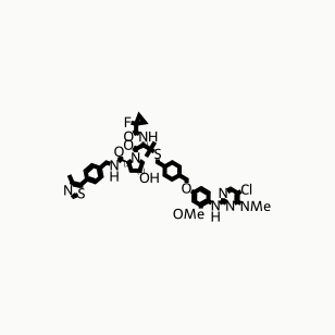 CNc1nc(Nc2ccc(OCC3CCC(CSC(C)(C)[C@@H](NC(=O)C4(F)CC4)C(=O)N4C[C@H](O)C[C@H]4C(=O)NCc4ccc(-c5scnc5C)cc4)CC3)cc2OC)ncc1Cl